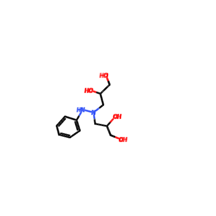 OCC(O)CN(CC(O)CO)Nc1ccccc1